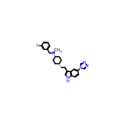 CN(Cc1cccc(F)c1)[C@H]1CC[C@@H](CCc2c[nH]c3ccc(-n4cnnc4)cc23)CC1